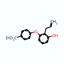 C=CCc1c(O)cccc1Oc1ccc(C(=O)OCC)cc1